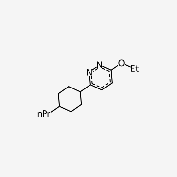 CCCC1CCC(c2ccc(OCC)nn2)CC1